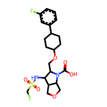 O=C(O)N1C2COCC2C(NS(=O)(=O)CF)C1COC1CCC(c2cccc(F)c2)CC1